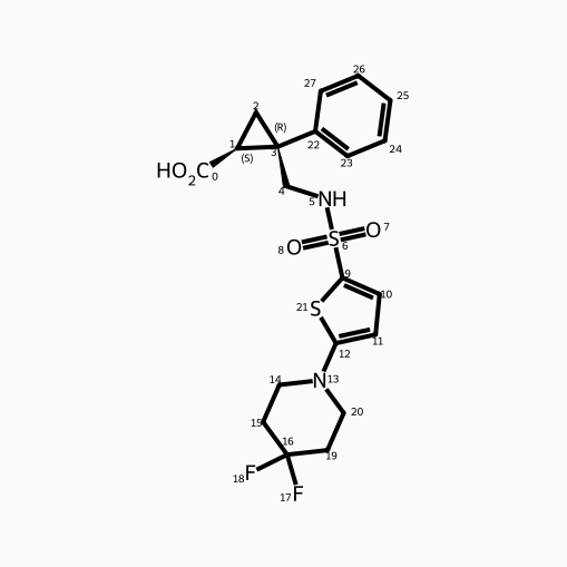 O=C(O)[C@H]1C[C@]1(CNS(=O)(=O)c1ccc(N2CCC(F)(F)CC2)s1)c1ccccc1